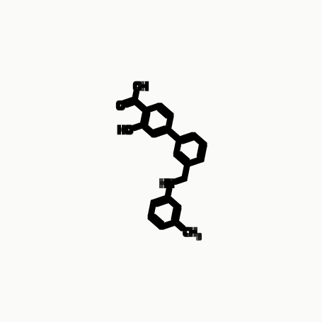 Cc1cccc(NCc2cccc(-c3ccc(C(=O)O)c(O)c3)c2)c1